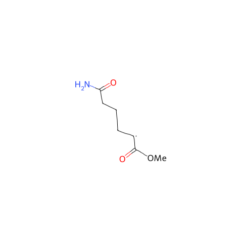 COC(=O)[CH]CCCC(N)=O